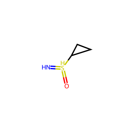 N=[SH](=O)C1CC1